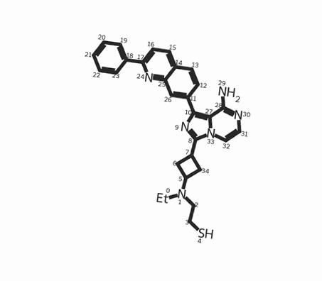 CCN(CCS)C1CC(c2nc(-c3ccc4ccc(-c5ccccc5)nc4c3)c3c(N)nccn23)C1